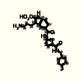 Cc1cnc(CNC(=O)c2csc(NC(=O)c3ccc4[nH]c(C(=O)O)c(CCCN)c4c3)n2)cn1